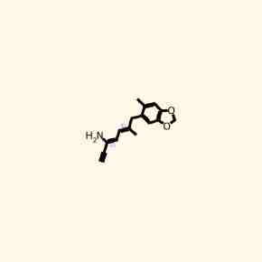 C#C/C(N)=C/C=C(\C)Cc1cc2c(cc1C)OCO2